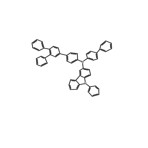 c1ccc(-c2ccc(N(c3ccc(-c4ccc(-c5ccccc5)c(-c5ccccc5)c4)cc3)c3ccc4c(c3)c3ccccc3n4-c3ccccc3)cc2)cc1